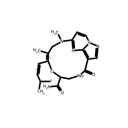 C/C1=C(\C=C/C(C)F)OC(C(N)=O)CNC(=O)c2cnn3ccc(nc23)N(C)C1